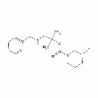 CC(C)(CNCc1ccccc1)OC(=O)N1CCCC(F)C1